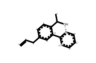 C=CCc1ccc(C(C)O)c(-c2ncccn2)c1